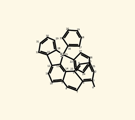 Cc1cccc2c1ccc1ccc3c(c12)[Si](c1ccccc1)(c1ccccc1)c1ccccc1-3